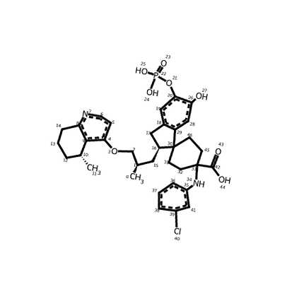 C[C@@H](COc1ccnc2c1[C@H](C)CCC2)C[C@H]1Cc2cc(OP(=O)(O)O)c(O)cc2C12CCC(Nc1cccc(Cl)c1)(C(=O)O)CC2